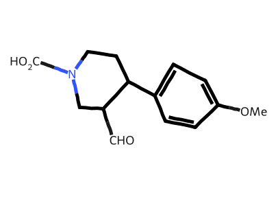 COc1ccc(C2CCN(C(=O)O)CC2C=O)cc1